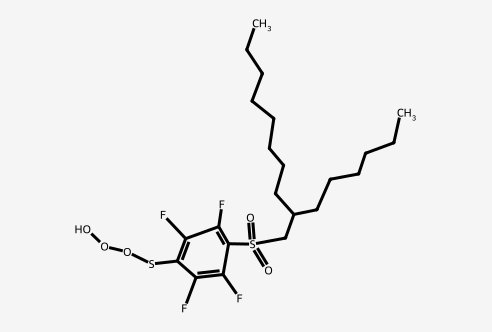 CCCCCCCCC(CCCCCC)CS(=O)(=O)c1c(F)c(F)c(SOOO)c(F)c1F